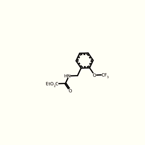 CCOC(=O)C(=O)NCc1ccccc1OC(F)(F)F